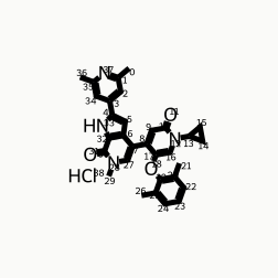 Cc1cc(-c2cc3c(-c4cc(=O)n(C5CC5)cc4Oc4c(C)cccc4C)cn(C)c(=O)c3[nH]2)cc(C)n1.Cl